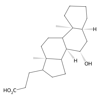 C[C@]12CCC3[C@H](C1CCC2CCC(=O)O)[C@@H](O)C[C@@H]1CCCC[C@]31C